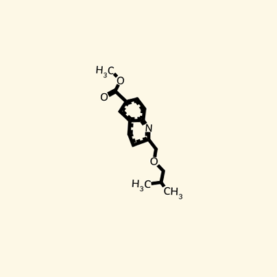 COC(=O)c1ccc2nc(COCC(C)C)ccc2c1